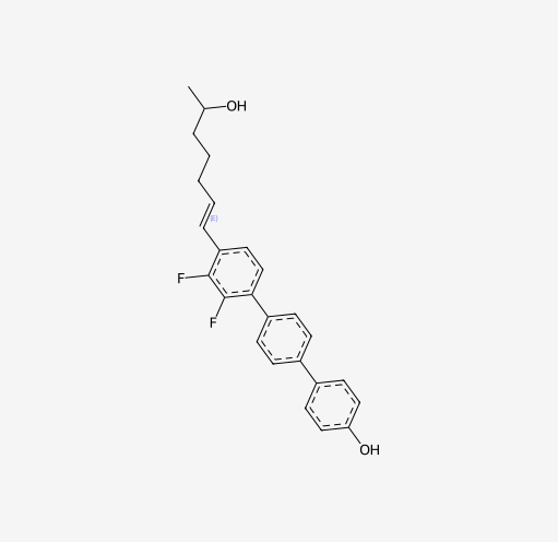 CC(O)CCC/C=C/c1ccc(-c2ccc(-c3ccc(O)cc3)cc2)c(F)c1F